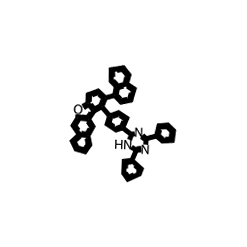 c1ccc(C2=NC(c3ccc(-c4c(-c5cccc6ccccc56)ccc5oc6cc7ccccc7cc6c45)cc3)NC(c3ccccc3)=N2)cc1